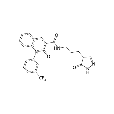 O=C(NCCCC1C=NNC1=O)c1cc2ccccc2n(-c2cccc(C(F)(F)F)c2)c1=O